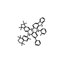 Cc1cc2c(cc1N1c3cc4c(cc3B3c5ccc6c(sc7ccccc76)c5N(c5ccccc5C)c5cc(-c6ccccc6)cc1c53)C(C)(C)CC4(C)C)C(C)(C)CCC2(C)C